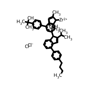 CCCCc1ccc(-c2cccc3c2C=C(C(C)C)C3c2cc3c4c(-c5ccc(C(C)(C)C)cc5)c2[Si](C)(C)C4=C(C)[CH]3[Zr+2])cc1.[Cl-].[Cl-]